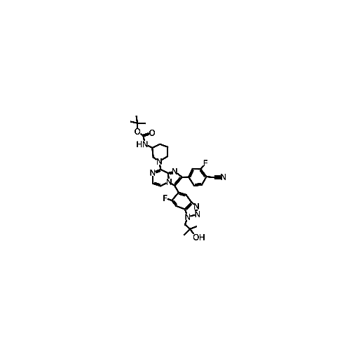 CC(C)(O)Cn1nnc2cc(-c3c(-c4ccc(C#N)c(F)c4)nc4c(N5CCCC(NC(=O)OC(C)(C)C)C5)nccn34)c(F)cc21